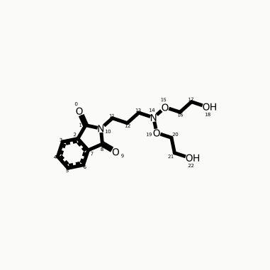 O=C1c2ccccc2C(=O)N1CCCN(OCCO)OCCO